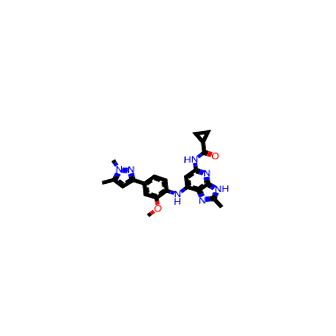 COc1cc(-c2cc(C)n(C)n2)ccc1Nc1cc(NC(=O)C2CC2)nc2[nH]c(C)nc12